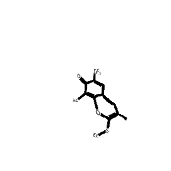 CCSc1oc2c(C(C)=O)c(=O)c(C(F)(F)F)cc-2cc1C